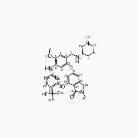 COc1cc(CN[C@H]2CCCN(C)C2)c(C)cc1Nc1ncc(C(F)(F)F)c(Oc2cccc3c2C(=O)N(C)C3)n1